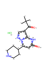 CC(C)(C)C(=O)c1cnn2c(C3CCNCC3)cc(=O)[nH]c12.Cl